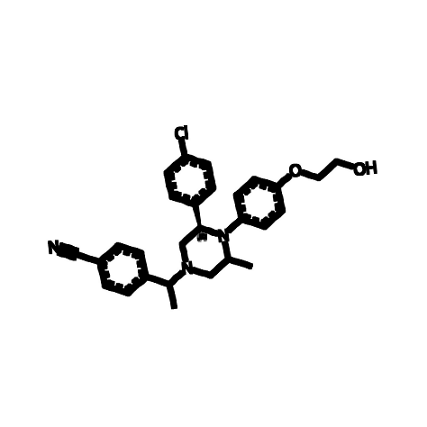 CC(c1ccc(C#N)cc1)N1CC(C)N(c2ccc(OCCO)cc2)[C@H](c2ccc(Cl)cc2)C1